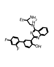 CCC(N)CNc1nc(-c2cc(-c3ccc(F)cc3F)ccc2O)nc2ccccc12